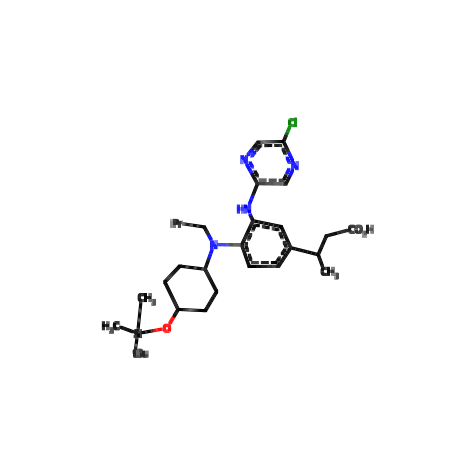 CC(C)CN(c1ccc(C(C)CC(=O)O)cc1Nc1cnc(Cl)cn1)C1CCC(O[Si](C)(C)C(C)(C)C)CC1